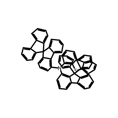 c1ccc(C2(c3ccccc3)c3ccccc3-c3cccc(N(c4cccc5c4-c4ccccc4C54c5ccccc5-c5ccccc54)c4cccc5c4sc4ccccc45)c32)cc1